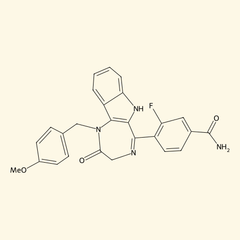 COc1ccc(CN2C(=O)CN=C(c3ccc(C(N)=O)cc3F)c3[nH]c4ccccc4c32)cc1